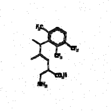 CC(CC(CN)C(=O)O)C(C)c1c(C(F)(F)F)ccc(C(F)(F)F)c1C(F)(F)F